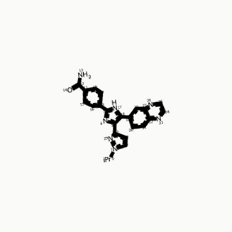 CC(C)n1ccc(-c2nc(-c3ccc(C(N)=O)cc3)[nH]c2-c2ccc3nccnc3c2)n1